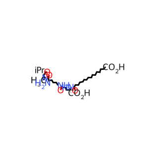 CC(C)C(=O)CN(C)C(=O)[C@H](N)CCCCNC(=O)CC[C@H](NC(=O)CCCCCCCCCCCCCCC(=O)O)C(=O)O